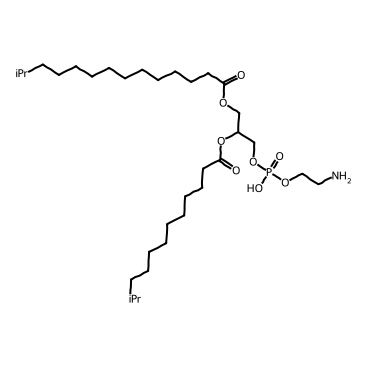 CC(C)CCCCCCCCCCCC(=O)OCC(COP(=O)(O)OCCN)OC(=O)CCCCCCCCCC(C)C